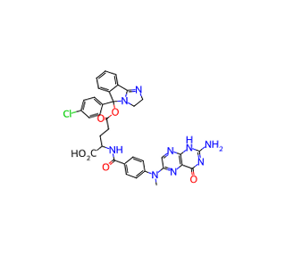 CN(c1ccc(C(=O)NC(CCC(=O)OC2(c3ccc(Cl)cc3)c3ccccc3C3=NCCN32)C(=O)O)cc1)c1cnc2[nH]c(N)nc(=O)c2n1